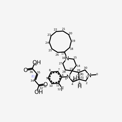 CN1C[C@H]2CN(c3ccccc3F)C3(CCN(C4CCCCCCCCC4)CC3)[C@H]2C1.O=C(O)/C=C/C(=O)O